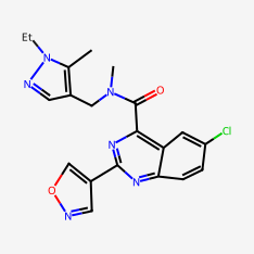 CCn1ncc(CN(C)C(=O)c2nc(-c3cnoc3)nc3ccc(Cl)cc23)c1C